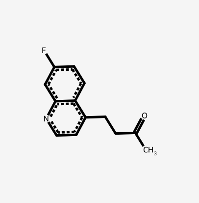 CC(=O)CCc1ccnc2cc(F)ccc12